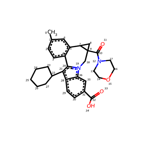 Cc1ccc2c(c1)C1CC1(C(=O)N1CCOCC1)Cn1c-2c(C2CCCCC2)c2ccc(C(=O)O)cc21